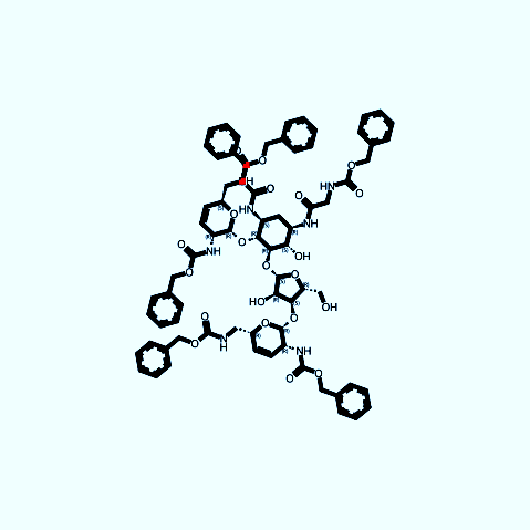 O=C(CNC(=O)OCc1ccccc1)N[C@@H]1C[C@H](NC(=O)OCc2ccccc2)[C@@H](O[C@H]2O[C@H](CNC(=O)OCc3ccccc3)C=C[C@H]2NC(=O)OCc2ccccc2)[C@H](O[C@@H]2O[C@H](CO)[C@@H](O[C@H]3O[C@@H](CNC(=O)OCc4ccccc4)C=C[C@H]3NC(=O)OCc3ccccc3)[C@H]2O)[C@H]1O